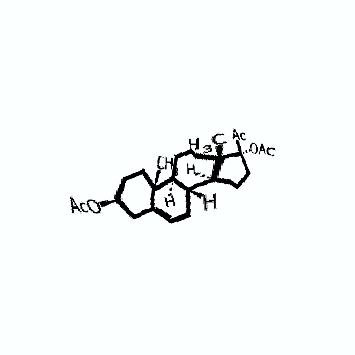 CC(=O)O[C@H]1CC[C@@]2(C)C(=CC[C@@H]3[C@@H]2CC[C@@]2(C)[C@H]3CC[C@]2(OC(C)=O)C(C)=O)C1